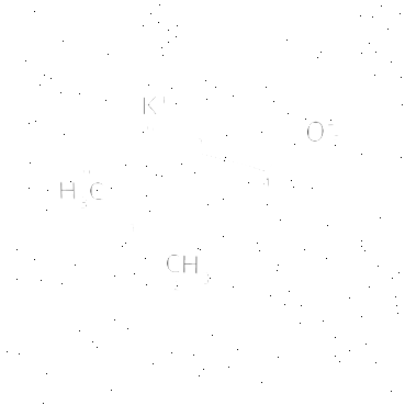 CC(C)CC[O-].[K+]